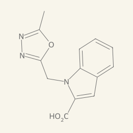 Cc1nnc(Cn2c(C(=O)O)cc3ccccc32)o1